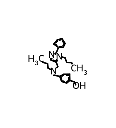 CCCCN(Cc1ccc(CO)cc1)Cc1cnc(-c2ccccc2)n1CCCC